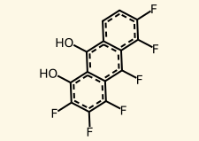 Oc1c(F)c(F)c(F)c2c(F)c3c(F)c(F)ccc3c(O)c12